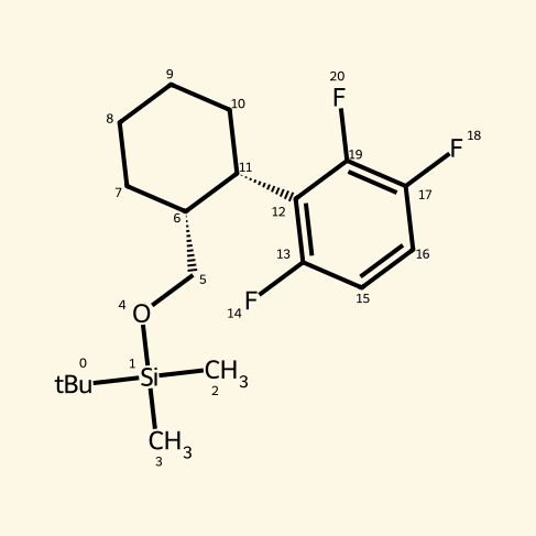 CC(C)(C)[Si](C)(C)OC[C@@H]1CCCC[C@@H]1c1c(F)ccc(F)c1F